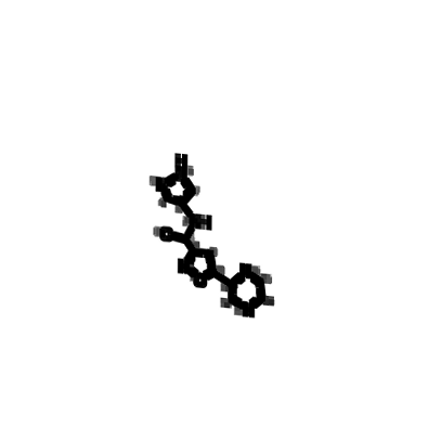 O=C(Nc1cn[nH]c1)c1cc(-c2cnccn2)on1